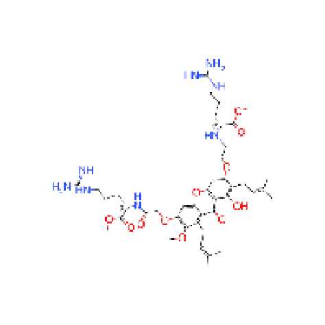 COC(=O)[C@H](CCCNC(=N)N)NC(=O)COc1cc2oc3cc(OCCN[C@H](CCCNC(=N)N)C(=O)OC)c(CC=C(C)C)c(O)c3c(=O)c2c(CC=C(C)C)c1OC